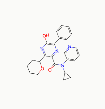 O=C(c1nc(-c2ccccc2)c(O)nc1C1CCCCO1)N(c1cccnc1)C1CC1